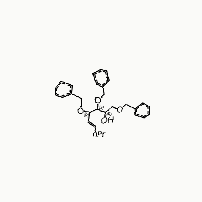 CCCC=C[C@@H](OCc1ccccc1)[C@@H](OCc1ccccc1)[C@H](O)COCc1ccccc1